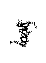 COC(=O)[C@H]1CC[C@](O)(c2ncc(-c3cc(N)cc4c3ccn4C)s2)CC1(C)C